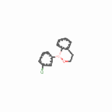 Clc1cccc(B2OCCc3ccccc32)c1